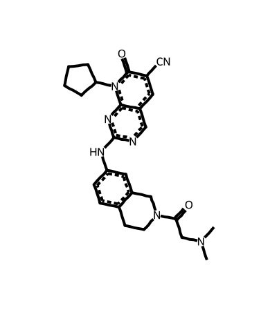 CN(C)CC(=O)N1CCc2ccc(Nc3ncc4cc(C#N)c(=O)n(C5CCCC5)c4n3)cc2C1